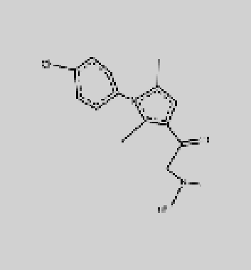 CCCN(C)CC(=O)c1cc(C)n(-c2ccc(Cl)cc2)c1C